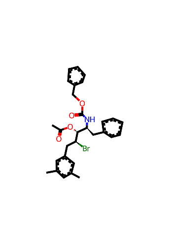 CC(=O)O[C@H]([C@H](Cc1ccccc1)NC(=O)OCc1ccccc1)[C@@H](Br)Cc1cc(C)cc(C)c1